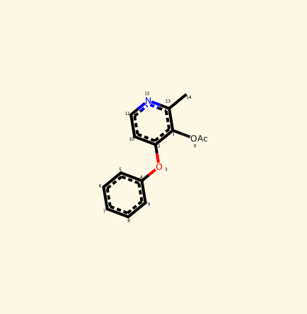 CC(=O)Oc1c(Oc2ccccc2)ccnc1C